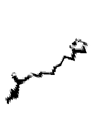 CC#CC(=O)COCCCCCCCc1c[nH]nn1